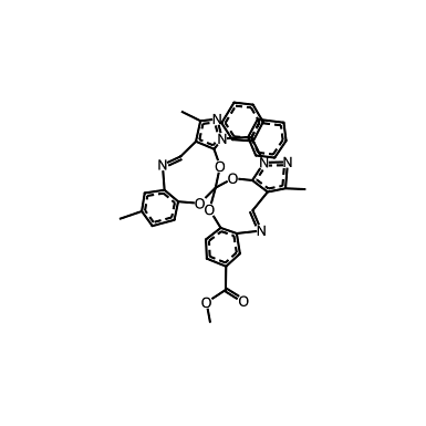 COC(=O)c1ccc2c(c1)/N=C/c1c(C)nn(-c3ccccc3)c1OC1(Oc3ccc(C)cc3/N=C/c3c(C)nn(-c4ccccc4)c3O1)O2